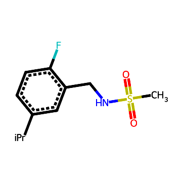 CC(C)c1ccc(F)c(CNS(C)(=O)=O)c1